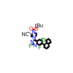 CC(C)(C)OC(=O)N1CCN(c2nc(F)nc3c(F)c(-c4cccc5cccc(Cl)c45)c(F)cc23)C[C@@H]1CC#N